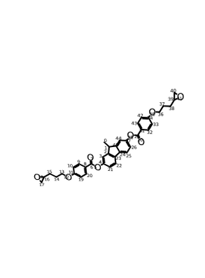 CC1c2cc(OC(=O)c3ccc(OCCCC4CO4)cc3)ccc2-c2ccc(OC(=O)c3ccc(OCCCC4CO4)cc3)cc21